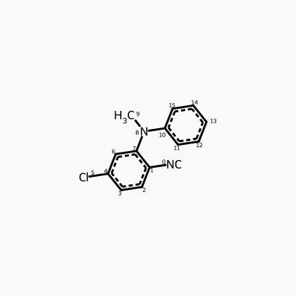 [C-]#[N+]c1ccc(Cl)cc1N(C)c1ccccc1